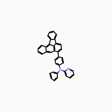 c1ccc(N(c2ccc(-c3ccc4c5c(c6ccccc6cc35)-c3ccccc3-4)cc2)c2ccccn2)cc1